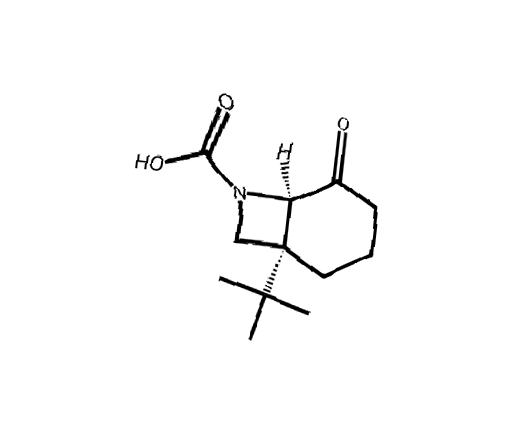 CC(C)(C)[C@@]12CCCC(=O)[C@@H]1N(C(=O)O)C2